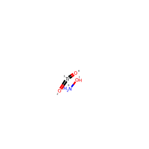 NO.[O]=[Ti]=[O]